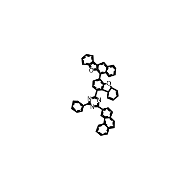 C1=CC2Oc3c(-c4c5ccccc5cc5c4oc4ccccc45)ccc(-c4nc(-c5ccccc5)nc(-c5ccc6ccc7ccccc7c6c5)n4)c3C2C=C1